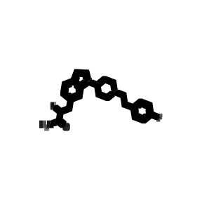 NC(=O)C(F)Cc1ccc2ccn(C3CCN(CCc4ccc(F)cc4)CC3)c2c1